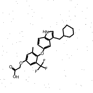 Cc1cc(OCC(=O)O)cc(C(F)(F)F)c1Oc1ccc2[nH]cc(CC3CCCCC3)c2c1